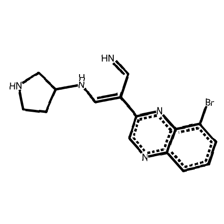 N=C/C(=C\NC1CCNC1)c1cnc2cccc(Br)c2n1